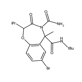 CC(C)C1Oc2ccc(Br)cc2C(C)(C(=O)NC(C)(C)C)N(C(N)=O)C1=O